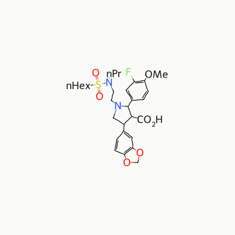 CCCCCCS(=O)(=O)N(CCC)CCN1CC(c2ccc3c(c2)OCO3)C(C(=O)O)C1c1ccc(OC)c(F)c1